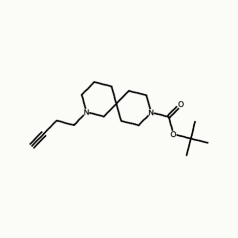 C#CCCN1CCCC2(CCN(C(=O)OC(C)(C)C)CC2)C1